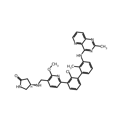 COc1nc(-c2cccc(-c3cccc(Nc4nc(C)nc5cccnc45)c3C)c2Cl)ccc1CN[C@H]1CNC(=O)C1